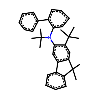 CC(C)(C)c1cc2c(cc1N(c1ccccc1-c1ccccc1)C(C)(C)C)-c1ccccc1C2(C)C